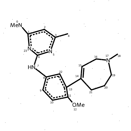 CNc1cc(C)nc(Nc2ccc(OC)c(C3=CCN(C)CCC3)c2)n1